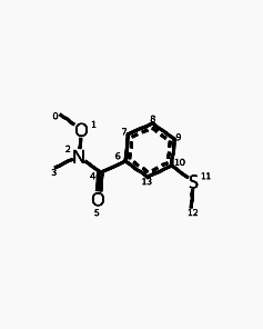 CON(C)C(=O)c1cccc(SC)c1